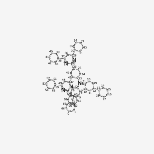 c1ccc(-c2ccc3c(c2)c2cc(-c4ccccc4)ccc2n3-c2ccc(-c3nc(-c4ccccc4)cc(-c4ccccc4)n3)cc2-c2cc(-c3ccccc3)nc(-c3ccccc3)n2)cc1